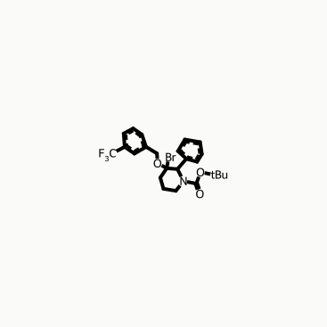 CC(C)(C)OC(=O)N1CCCC(Br)(OCc2cccc(C(F)(F)F)c2)C1c1ccccc1